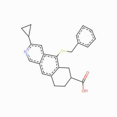 O=C(O)C1CCc2cc3cnc(C4CC4)cc3c(SCc3ccccc3)c2C1